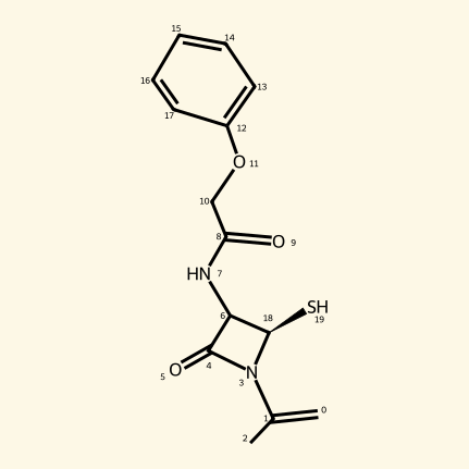 C=C(C)N1C(=O)C(NC(=O)COc2ccccc2)[C@H]1S